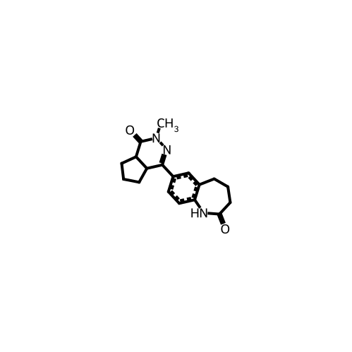 CN1N=C(c2ccc3c(c2)CCCC(=O)N3)C2CCCC2C1=O